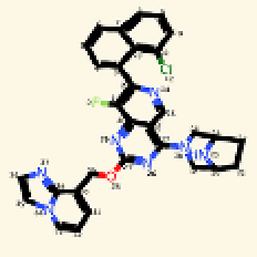 Fc1c(-c2cccc3cccc(Cl)c23)ncc2c(N3CC4CCC(C3)N4)nc(OCc3cccn4ccnc34)nc12